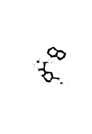 COC(=O)c1ccc2oc3ncnc(Nc4cccc5ccccc45)c3c2c1.Cl